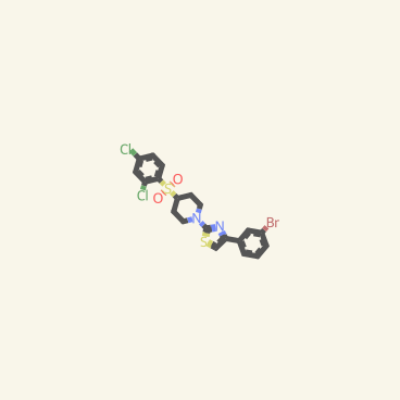 O=S(=O)(c1ccc(Cl)cc1Cl)C1CCN(c2nc(-c3cccc(Br)c3)cs2)CC1